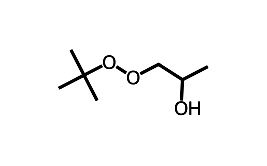 CC(O)COOC(C)(C)C